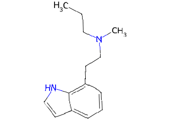 CCCN(C)CCc1cccc2cc[nH]c12